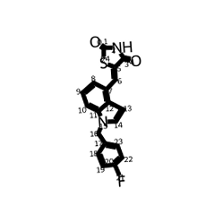 O=C1NC(=O)/C(=C/c2cccc3c2ccn3Cc2ccc(F)cc2)S1